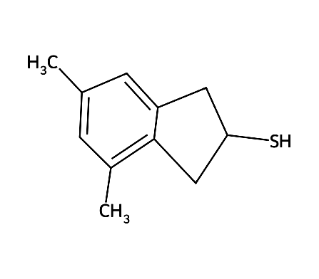 Cc1cc(C)c2c(c1)CC(S)C2